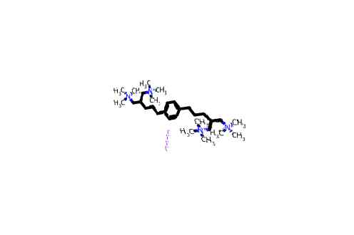 C[N+](C)(C)CC(CCCc1ccc(CCCC(C[N+](C)(C)C)C[N+](C)(C)C)cc1)C[N+](C)(C)C.[I-].[I-].[I-].[I-]